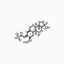 C[C@]12CC(=N/O)/C(=N/NS(C)(=O)=O)C=C1CC[C@@H]1[C@@H]2[C@@H](F)C[C@@]2(C)[C@H]1CC[C@]2(C)O